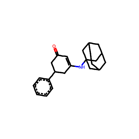 O=C1C=C(NC23CC4CC(CC(C4)C2)C3)CC(c2ccccc2)C1